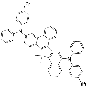 CC(C)c1ccc(N(c2ccccc2)c2ccc3c4c(c5ccccc5c3c2)-c2cc(N(c3ccccc3)c3ccc(C(C)C)cc3)c3ccccc3c2C4(C)C)cc1